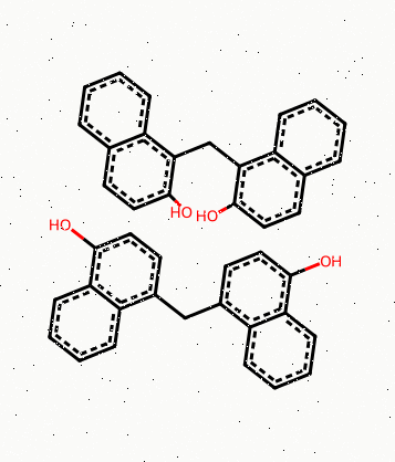 Oc1ccc(Cc2ccc(O)c3ccccc23)c2ccccc12.Oc1ccc2ccccc2c1Cc1c(O)ccc2ccccc12